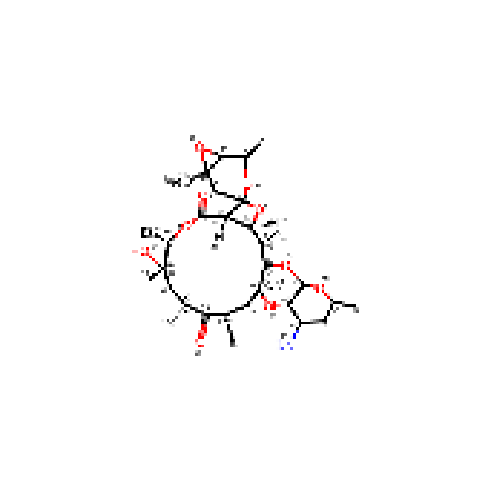 CC[C@H]1OC(=O)[C@H]2[C@@H](OC23CC2(OC)OC2C(C)O3)[C@H](C)[C@@H](OC2CC(N)CC(C)O2)[C@@](C)(O)C[C@@H](C)C(=O)[C@H](C)C[C@]1(C)O